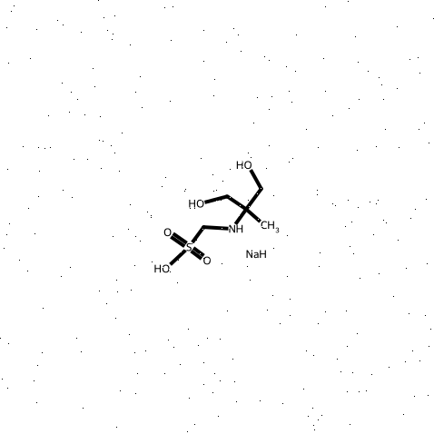 CC(CO)(CO)NCS(=O)(=O)O.[NaH]